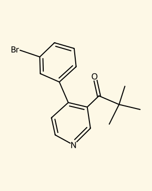 CC(C)(C)C(=O)c1cnccc1-c1cccc(Br)c1